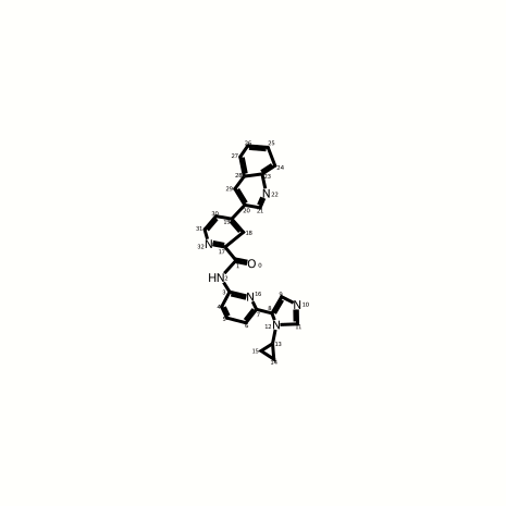 O=C(Nc1cccc(-c2cncn2C2CC2)n1)c1cc(-c2cnc3ccccc3c2)ccn1